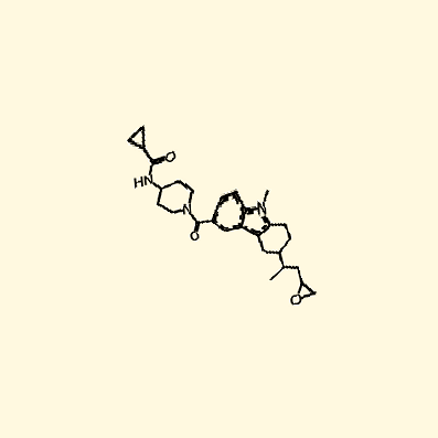 CC(CC1CO1)C1CCc2c(c3cc(C(=O)N4CCC(NC(=O)C5CC5)CC4)ccc3n2C)C1